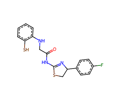 O=C(CNc1ccccc1S)NC1=NC(c2ccc(F)cc2)CS1